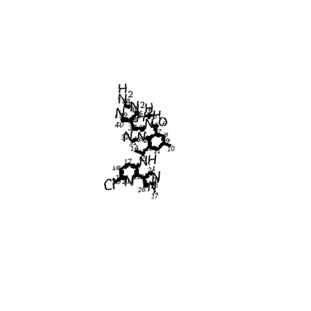 [2H]C([2H])([2H])n1c(=O)c2cc(C)cc(C(C)Nc3ccc(Cl)nc3-c3cnn(C)c3)c2n2cnc(-c3cnc(N)nc3)c12